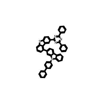 c1ccc(-c2ccc(-n3c4ccccc4c4ccc(-c5cccc6sc7ccc(-c8nc(-c9ccccc9)nc(-c9ccccc9)n8)cc7c56)cc43)cc2)cc1